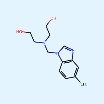 Cc1ccc2c(c1)ncn2CN(CCO)CCO